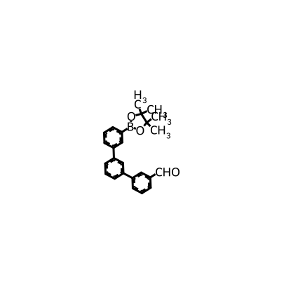 CC1(C)OB(c2cccc(-c3cccc(-c4cccc(C=O)c4)c3)c2)OC1(C)C